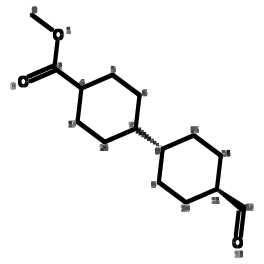 COC(=O)C1CCC([C@H]2CC[C@H](C=O)CC2)CC1